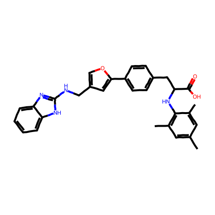 Cc1cc(C)c(NC(Cc2ccc(-c3cc(CNc4nc5ccccc5[nH]4)co3)cc2)C(=O)O)c(C)c1